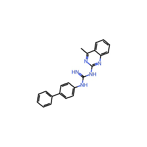 Cc1nc(NC(=N)Nc2ccc(-c3ccccc3)cc2)nc2ccccc12